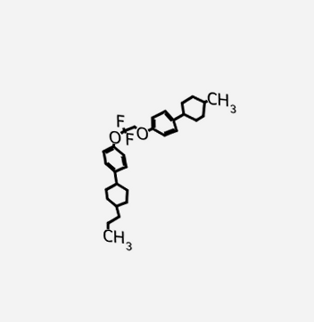 CCCC1CCC(c2ccc(OC(F)(F)COc3ccc(C4CCC(C)CC4)cc3)cc2)CC1